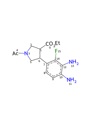 CCOC(=O)C1CN(C(C)=O)CC1c1ccc(N)c(N)c1F